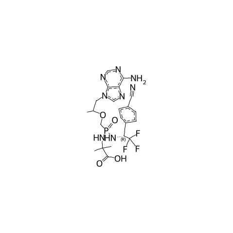 CC(Cn1cnc2c(N)ncnc21)OCP(=O)(N[C@H](c1ccc(C#N)cc1)C(F)(F)F)NC(C)(C)C(=O)O